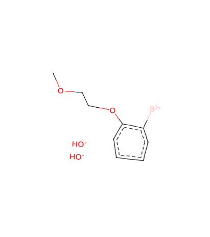 [B+2]c1ccccc1OCCOC.[OH-].[OH-]